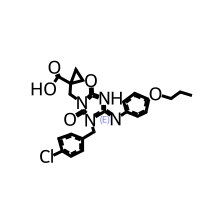 CCCOc1ccc(/N=c2\[nH]c(=O)n(CC3(C(=O)O)CC3)c(=O)n2Cc2ccc(Cl)cc2)cc1